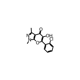 Cc1nn(C)c2oc(-c3ccccc3Cl)c(O)c(=O)c12